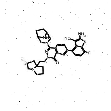 N#Cc1c(N)sc2c(F)ccc(-c3ccc4c(N5CC6CCC(C5)N6)nn(CCC56CCCN5C[C@H](F)C6)c(=O)c4c3)c12